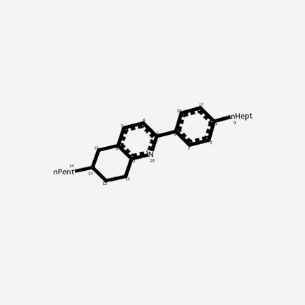 CCCCCCCc1ccc(-c2ccc3c(n2)CCC(CCCCC)C3)cc1